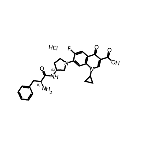 Cl.N[C@@H](Cc1ccccc1)C(=O)N[C@H]1CCN(c2cc3c(cc2F)c(=O)c(C(=O)O)cn3C2CC2)C1